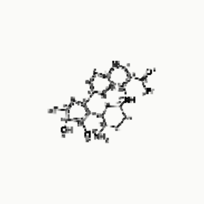 CC(C)C(=O)c1cnc2ccc(-c3cc(F)c(O)c(Cl)c3)cc2c1NC1CCC(N)CC1